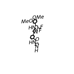 COc1ccc(C2CC(C(F)F)n3nc(-c4cccc(C(=O)N[C@H]5CCNC5)c4)cc3N2)cc1OC